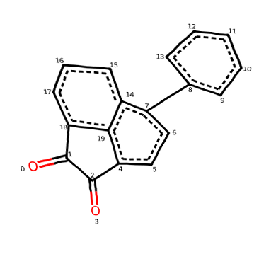 O=C1C(=O)c2ccc(-c3ccccc3)c3cccc1c23